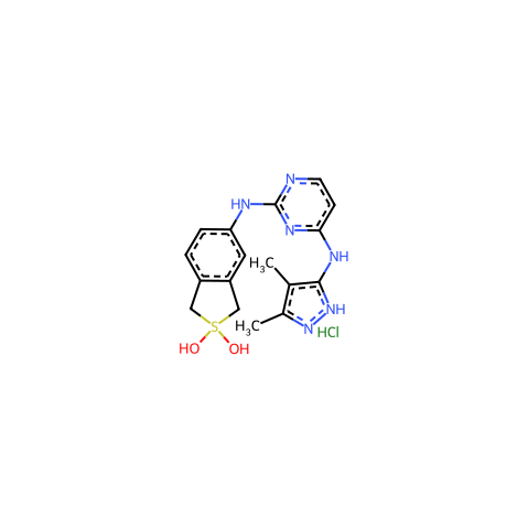 Cc1n[nH]c(Nc2ccnc(Nc3ccc4c(c3)CS(O)(O)C4)n2)c1C.Cl